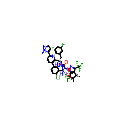 C[C@@H]1c2c(C(F)(F)F)nn(CC(=O)N[C@@H](Cc3cc(F)cc(F)c3)c3nc(-c4ccnn4C)ccc3-c3ccc(Cl)c4c(NS(C)(=O)=O)nn(C)c34)c2C(F)(F)[C@@H]1C